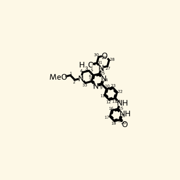 COCCN1CCc2c(nc(-c3ccc(Nc4cccc(=O)[nH]4)cc3)nc2N2CCOCC2C)C1